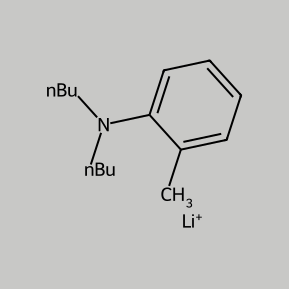 CCCCN(CCCC)c1ccccc1C.[Li+]